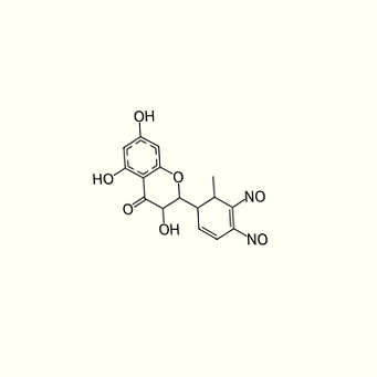 CC1C(N=O)=C(N=O)C=CC1C1Oc2cc(O)cc(O)c2C(=O)C1O